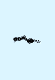 COc1cc(C)c(S(=O)(=O)N(C)CCOCC(=O)N(C)CC2CCN(c3ccnc(C)c3)CC2)c(C)c1